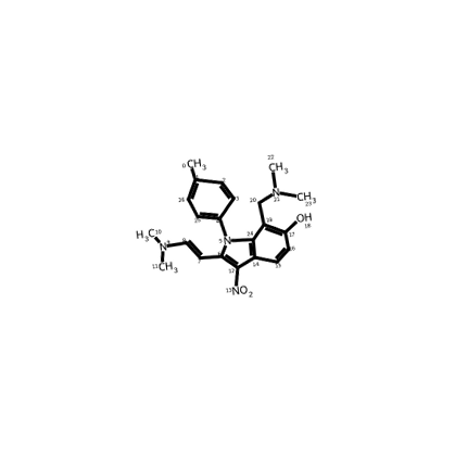 Cc1ccc(-n2c(C=CN(C)C)c([N+](=O)[O-])c3ccc(O)c(CN(C)C)c32)cc1